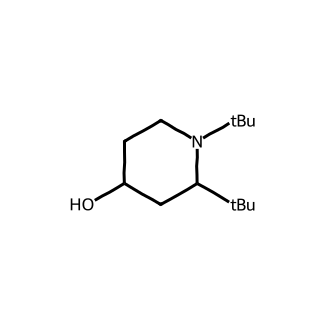 CC(C)(C)C1CC(O)CCN1C(C)(C)C